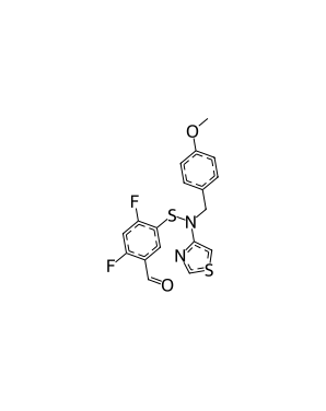 COc1ccc(CN(Sc2cc(C=O)c(F)cc2F)c2cscn2)cc1